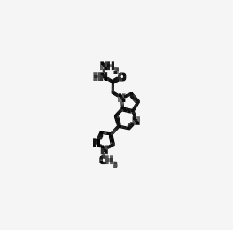 Cn1cc(-c2cnc3ccn(CC(=O)NN)c3c2)cn1